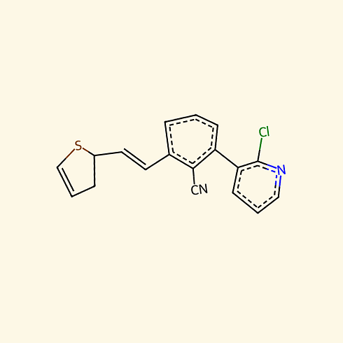 N#Cc1c(C=CC2CC=CS2)cccc1-c1cccnc1Cl